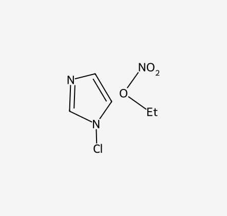 CCO[N+](=O)[O-].Cln1ccnc1